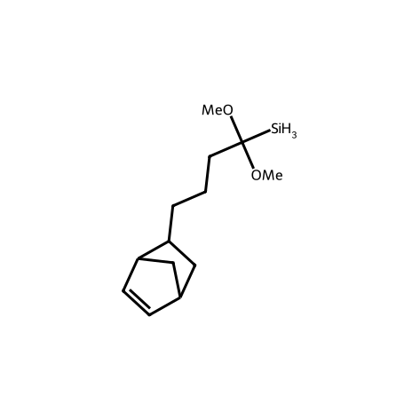 COC([SiH3])(CCCC1CC2C=CC1C2)OC